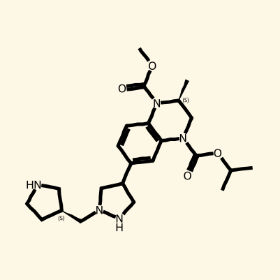 COC(=O)N1c2ccc(C3CNN(C[C@H]4CCNC4)C3)cc2N(C(=O)OC(C)C)C[C@@H]1C